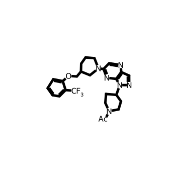 CC(=O)N1CCC(n2ncc3ncc(N4CCCC(COc5ccccc5C(F)(F)F)C4)nc32)CC1